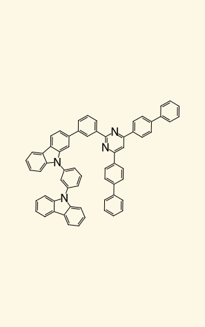 c1ccc(-c2ccc(-c3cc(-c4ccc(-c5ccccc5)cc4)nc(-c4cccc(-c5ccc6c7ccccc7n(-c7cccc(-n8c9ccccc9c9ccccc98)c7)c6c5)c4)n3)cc2)cc1